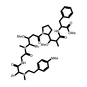 CCC(C)C(C(CC(=O)N1CCCC1C(OC)C(C)C(=O)NC(Cc1ccccc1)C(=O)OC)OC)N(C)C(=O)CNC(=O)C(C(C)C)N(C)CCc1ccc(NC)cc1